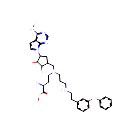 CNc1ncnc2c1ccn2C1CC(CN(CCCNCCc2cccc(Oc3ccccc3)c2)CCC(N)C(=O)OC)C(O)C1O